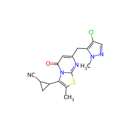 Cc1sc2nc(Cc3c(Cl)cnn3C)cc(=O)n2c1C1CC1C#N